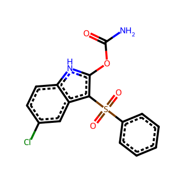 NC(=O)Oc1[nH]c2ccc(Cl)cc2c1S(=O)(=O)c1ccccc1